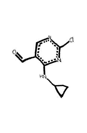 O=Cc1cnc(Cl)nc1NC1CC1